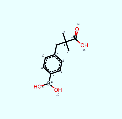 CC(C)(Cc1ccc(B(O)O)cc1)C(=O)O